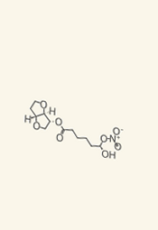 O=C(CCCC[C@H](O)O[N+](=O)[O-])O[C@@H]1CO[C@@H]2CCO[C@H]21